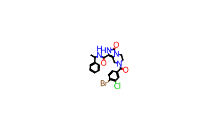 CC(NC(=O)c1[nH]c(=O)n2c1CN(C(=O)c1ccc(Br)c(Cl)c1)CC2)c1ccccc1